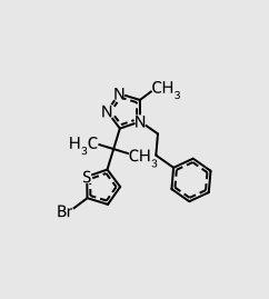 Cc1nnc(C(C)(C)c2ccc(Br)s2)n1CCc1ccccc1